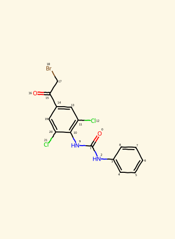 O=C(Nc1ccccc1)Nc1c(Cl)cc(C(=O)CBr)cc1Cl